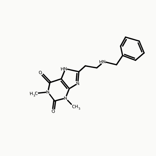 Cn1c(=O)c2[nH]c(CCNCc3ccccc3)nc2n(C)c1=O